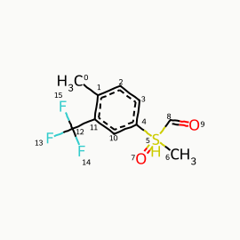 Cc1ccc([SH](C)(=O)C=O)cc1C(F)(F)F